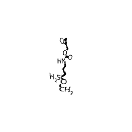 CCO[SiH2]CCCNC(=O)OCC1CO1